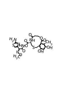 CO/N=C(\C(=O)NOC(=O)[C@@H]1CSCc2c(O)cc(O)c(C)c2C(=O)OCCC(=O)N1)c1csc(N)n1